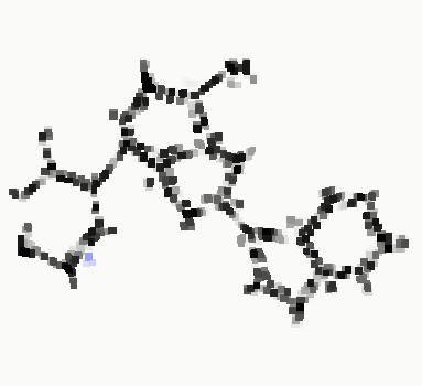 CC/N=C\C(=C(C)C)c1cnc(N)c2oc(-c3csc4cnccc34)cc12